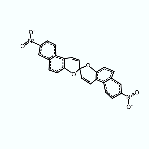 O=[N+]([O-])c1ccc2c3c(ccc2c1)OC1(C=C3)C=Cc2c(ccc3cc([N+](=O)[O-])ccc23)O1